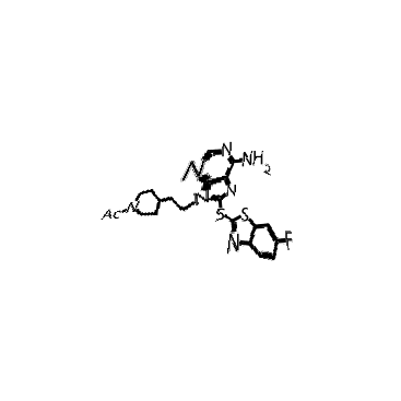 CC(=O)N1CCC(CCn2c(SC3=NC4C=CC(F)=CC4S3)nc3c(N)ncnc32)CC1